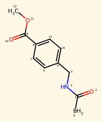 BC(=O)NCc1ccc(C(=O)OC)cc1